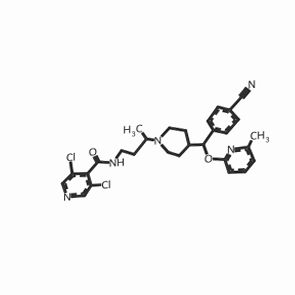 Cc1cccc(OC(c2ccc(C#N)cc2)C2CCN(C(C)CCNC(=O)c3c(Cl)cncc3Cl)CC2)n1